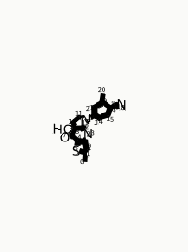 Cc1cc2c(s1)C(=O)[C@]1(O)CCN(c3ccc(C#N)c(C)c3)C1=N2